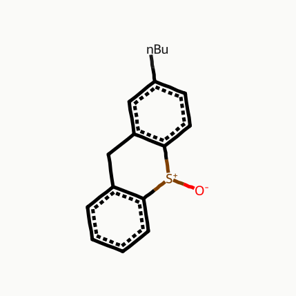 CCCCc1ccc2c(c1)Cc1ccccc1[S+]2[O-]